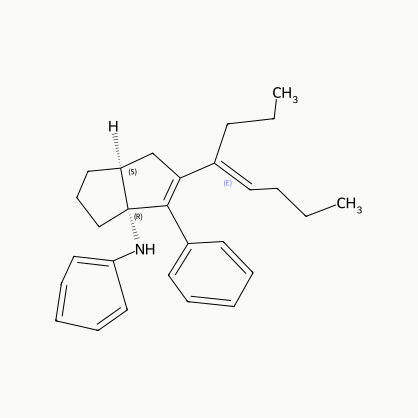 CCC/C=C(\CCC)C1=C(c2ccccc2)[C@@]2(Nc3ccccc3)CCC[C@H]2C1